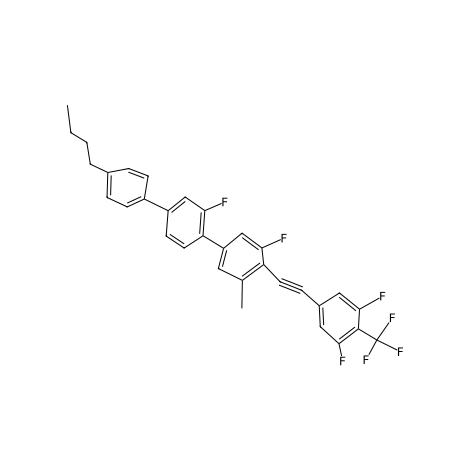 CCCCc1ccc(-c2ccc(-c3cc(C)c(C#Cc4cc(F)c(C(F)(F)F)c(F)c4)c(F)c3)c(F)c2)cc1